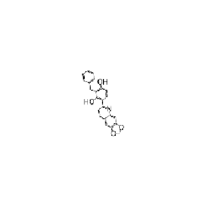 Oc1ccc(-c2ccc3cc4c(cc3n2)OCO4)c(O)c1Cc1ccccc1